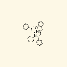 COc1ccccc1CNCC(c1ccccc1)N(CCCc1ccccc1)C1CCCCC1